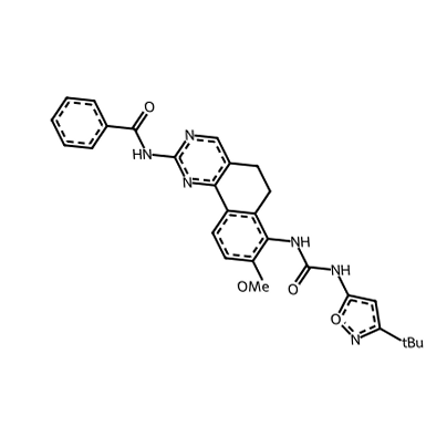 COc1ccc2c(c1NC(=O)Nc1cc(C(C)(C)C)no1)CCc1cnc(NC(=O)c3ccccc3)nc1-2